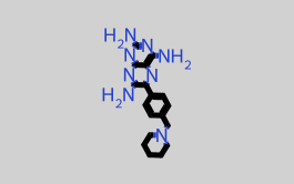 Nc1nc(N)c2nc(-c3ccc(CN4CCCCC4)cc3)c(N)nc2n1